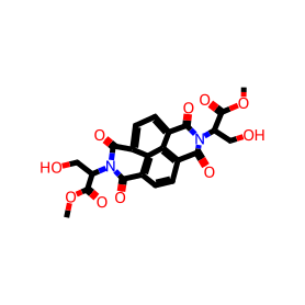 COC(=O)C(CO)N1C(=O)c2ccc3c4c(ccc(c24)C1=O)C(=O)N(C(CO)C(=O)OC)C3=O